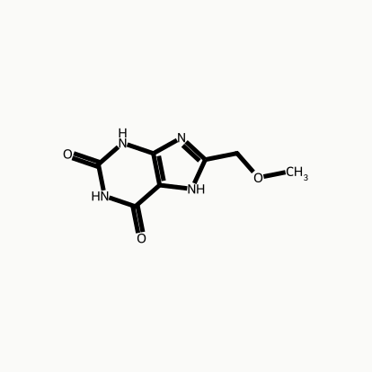 COCc1nc2[nH]c(=O)[nH]c(=O)c2[nH]1